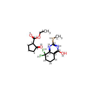 CCOC(=O)C1CCCC1=O.CSc1nc(O)c2c(n1)C(F)(F)CCC2